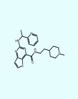 CC(Nc1nc(C(=O)NCCC2CCN(C)CC2)c2sccc2n1)c1ccccn1